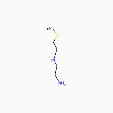 CCCSCCNCCN